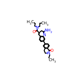 CCCN(CCC)C(=O)C1=Cc2ccc(-c3ccc4c(c3)CCN(CCC)C4=O)cc2N=C(N)C1